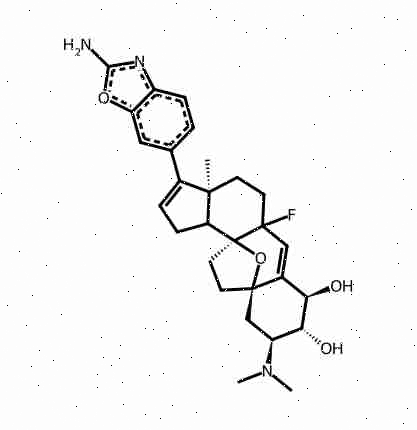 CN(C)[C@H]1C[C@@]23CC[C@]4(O2)C2CC=C(c5ccc6nc(N)oc6c5)[C@@]2(C)CCC4(F)C=C3[C@@H](O)[C@@H]1O